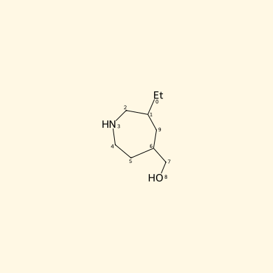 CCC1CNCCC(CO)C1